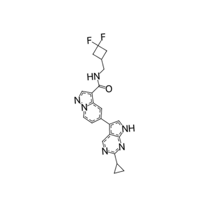 O=C(NCC1CC(F)(F)C1)c1cnn2ccc(-c3c[nH]c4nc(C5CC5)ncc34)cc12